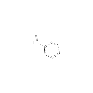 [CH2]=[Ru][c]1ccccc1